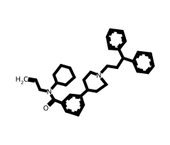 C=CCN(C(=O)c1cccc(C2CCN(CCC(c3ccccc3)c3ccccc3)CC2)c1)C1CCCCC1